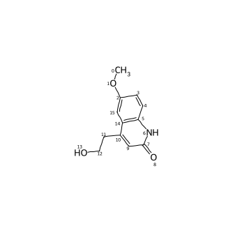 COc1ccc2[nH]c(=O)cc(CCO)c2c1